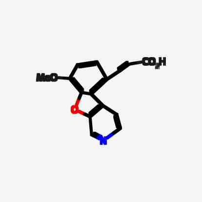 COc1ccc(C=CC(=O)O)c2c1oc1cnccc12